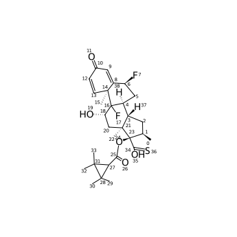 C[C@@H]1C[C@H]2[C@@H]3C[C@H](F)C4=CC(=O)C=C[C@]4(C)C3(F)[C@@H](O)C[C@]2(C)[C@@]1(OC(=O)C1C(C)(C)C1(C)C)C(O)=S